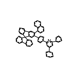 c1ccc(-c2cc(-c3ccccc3)nc(-c3ccc(-c4cc5c(cc4-c4cccc6ccccc46)-c4ccccc4C54c5ccccc5-c5ccccc54)cc3)c2)cc1